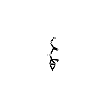 CC(C)(C)OC(=O)NC12C[S@@]13CN23